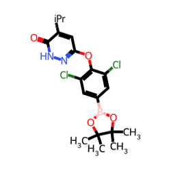 CC(C)c1cc(Oc2c(Cl)cc(B3OC(C)(C)C(C)(C)O3)cc2Cl)n[nH]c1=O